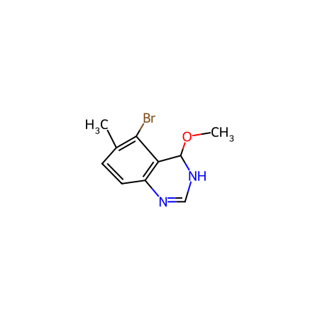 COC1NC=Nc2ccc(C)c(Br)c21